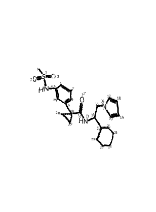 CS(=O)(=O)Nc1cccc(C2(C(=O)NC(Cn3cccc3)C3CCCCC3)CC2)c1